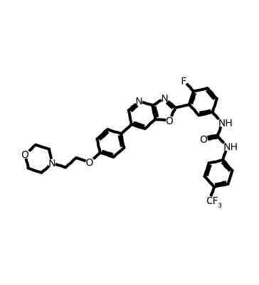 O=C(Nc1ccc(C(F)(F)F)cc1)Nc1ccc(F)c(-c2nc3ncc(-c4ccc(OCCN5CCOCC5)cc4)cc3o2)c1